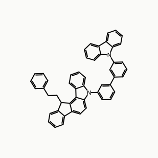 c1ccc(CCC2c3ccccc3-c3ccc4c(c32)c2ccccc2n4-c2cccc(-c3cccc(-n4c5ccccc5c5ccccc54)c3)c2)cc1